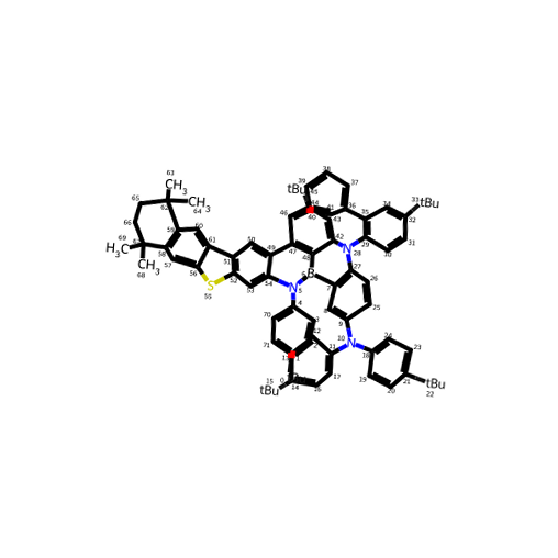 CC(C)(C)c1ccc(N2B3c4cc(N(c5ccc(C(C)(C)C)cc5)c5ccc(C(C)(C)C)cc5)ccc4N(c4ccc(C(C)(C)C)cc4-c4ccccc4)c4cc(C(C)(C)C)cc(c43)-c3cc4c(cc32)sc2cc3c(cc24)C(C)(C)CCC3(C)C)cc1